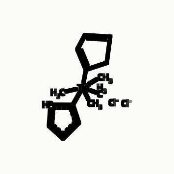 [CH3][Ti+2]([CH3])([CH3])([CH3])([C]1=CC=CC1)[c]1ccc[pH]1.[Cl-].[Cl-]